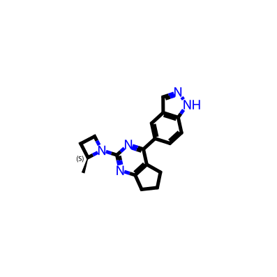 C[C@H]1CCN1c1nc2c(c(-c3ccc4[nH]ncc4c3)n1)CCC2